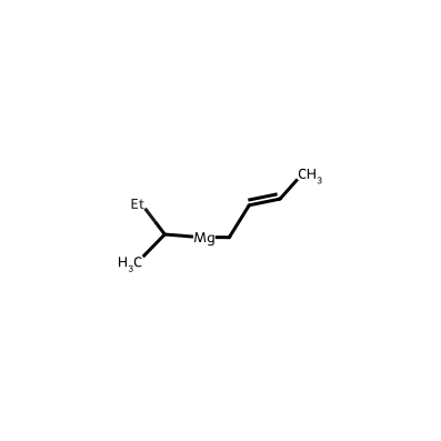 CC=C[CH2][Mg][CH](C)CC